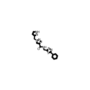 O=C(NCc1nnc(-c2ccccc2)s1)c1cn(Cc2cc[nH]n2)nn1